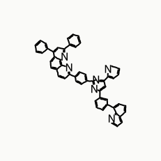 c1ccc(-c2cc(-c3ccccc3)c3ccc4ccc(-c5ccc(-c6nc(-c7cccc(-c8cccc9cccnc89)c7)cc(-c7ccccn7)n6)cc5)nc4c3n2)cc1